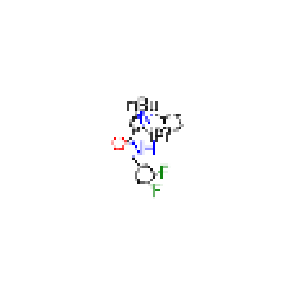 CCCCc1cc(C(=O)NCc2ccc(F)c(F)c2)c(C(C)C)n1Cc1ccccc1